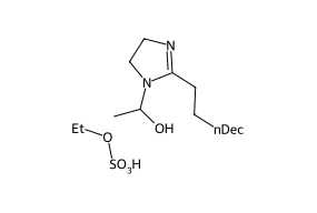 CCCCCCCCCCCCC1=NCCN1C(C)O.CCOS(=O)(=O)O